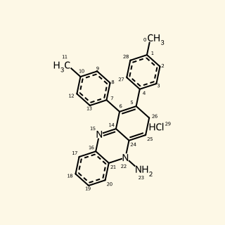 Cc1ccc(C2=C(c3ccc(C)cc3)C3=Nc4ccccc4N(N)C3=CC2)cc1.Cl